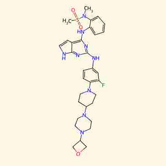 CN(c1ccccc1Nc1nc(Nc2ccc(N3CCC(N4CCN(C5COC5)CC4)CC3)c(F)c2)nc2[nH]ccc12)S(C)(=O)=O